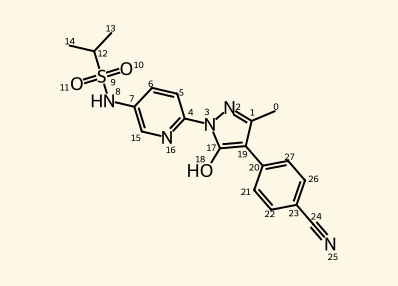 Cc1nn(-c2ccc(NS(=O)(=O)C(C)C)cn2)c(O)c1-c1ccc(C#N)cc1